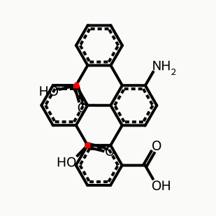 Nc1ccc(-c2ccccc2C(=O)O)c(-c2ccccc2C(=O)O)c1-c1ccccc1C(=O)O